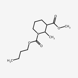 CCCCOC(=O)N1CCCC(C(=O)OC)C1C